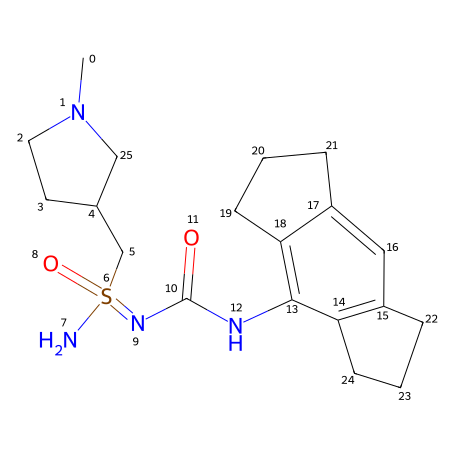 CN1CCC(CS(N)(=O)=NC(=O)Nc2c3c(cc4c2CCC4)CCC3)C1